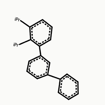 CC(C)c1cccc(-c2cccc(-c3ccccc3)c2)c1C(C)C